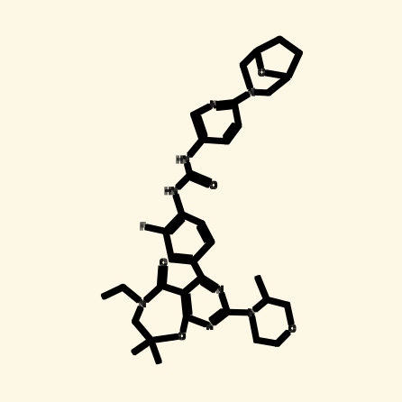 CCN1CC(C)(C)Oc2nc(N3CCOCC3C)nc(-c3ccc(NC(=O)Nc4ccc(N5CC6CCC(C5)O6)nc4)c(F)c3)c2C1=O